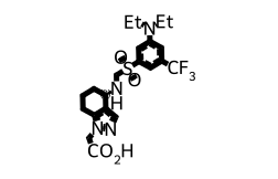 CCN(CC)c1cc(C(F)(F)F)cc(S(=O)(=O)CN[C@@H]2CCCc3c2cnn3CC(=O)O)c1